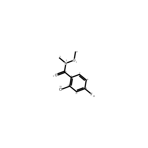 CON(C)C(=O)c1ccc(F)cc1Cl